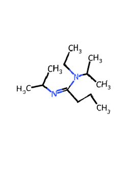 CCC/C(=N/C(C)C)N(CC)C(C)C